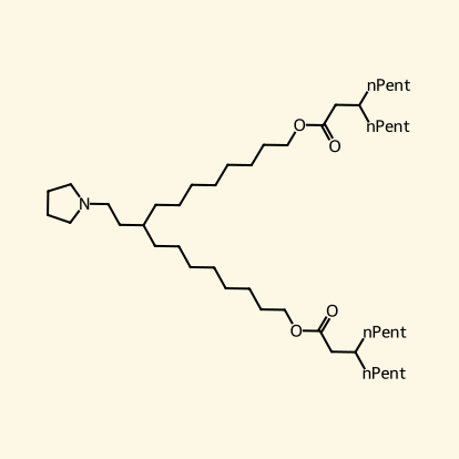 CCCCCC(CCCCC)CC(=O)OCCCCCCCCC(CCCCCCCCOC(=O)CC(CCCCC)CCCCC)CCN1CCCC1